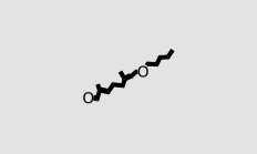 CCCCCOC/C=C(\C)CC/C=C(\C)C=O